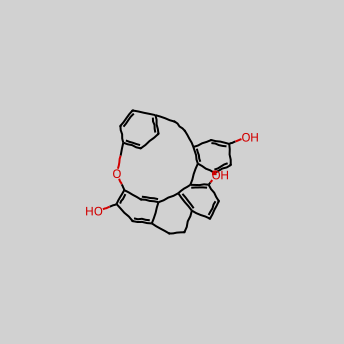 Oc1ccc2c(c1)CCc1ccc(cc1)Oc1cc3c(cc1O)CCc1ccc(O)c-2c1-3